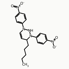 CCCCCC1C=CN(c2ccc([N+](=O)[O-])cc2)NN1c1ccc([N+](=O)[O-])cc1